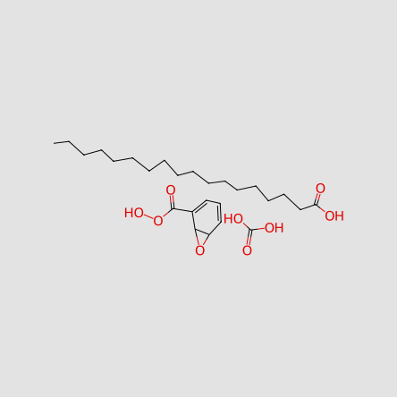 CCCCCCCCCCCCCCCCCC(=O)O.O=C(O)O.O=C(OO)C1=CC=CC2OC12